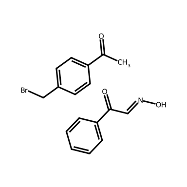 CC(=O)c1ccc(CBr)cc1.O=C(C=NO)c1ccccc1